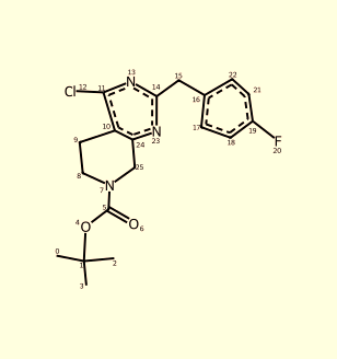 CC(C)(C)OC(=O)N1CCc2c(Cl)nc(Cc3ccc(F)cc3)nc2C1